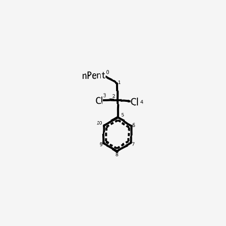 CCCCCCC(Cl)(Cl)c1ccccc1